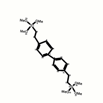 CO[Si](CCc1ccc(-c2ccc(CC[Si](OC)(OC)OC)cc2)cc1)(OC)OC